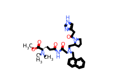 COC(=O)[C@H](CCC(=O)NC(=O)CN(Cc1cccc2ccccc12)CC1CCCN1C(=O)Cc1c[nH]cn1)N(C)C